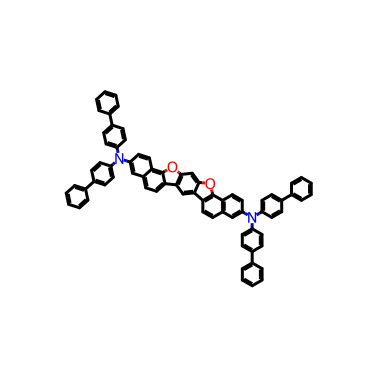 c1ccc(-c2ccc(N(c3ccc(-c4ccccc4)cc3)c3ccc4c(ccc5c6cc7c(cc6oc45)oc4c5ccc(N(c6ccc(-c8ccccc8)cc6)c6ccc(-c8ccccc8)cc6)cc5ccc74)c3)cc2)cc1